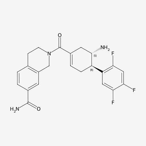 NC(=O)c1ccc2c(c1)CN(C(=O)C1=CC[C@H](c3cc(F)c(F)cc3F)[C@@H](N)C1)CC2